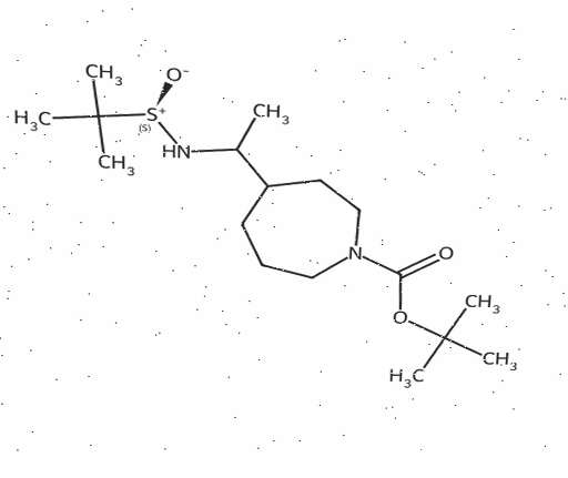 CC(N[S@+]([O-])C(C)(C)C)C1CCCN(C(=O)OC(C)(C)C)CC1